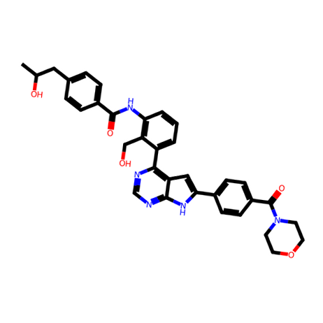 CC(O)Cc1ccc(C(=O)Nc2cccc(-c3ncnc4[nH]c(-c5ccc(C(=O)N6CCOCC6)cc5)cc34)c2CO)cc1